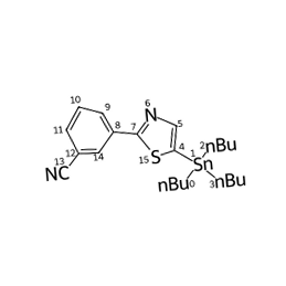 CCC[CH2][Sn]([CH2]CCC)([CH2]CCC)[c]1cnc(-c2cccc(C#N)c2)s1